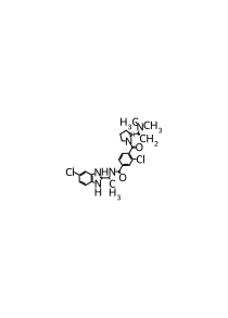 C=C([C@@H]1CCCN1C(=O)c1ccc(C(=O)NC(C)c2nc3cc(Cl)ccc3[nH]2)cc1Cl)N(C)C